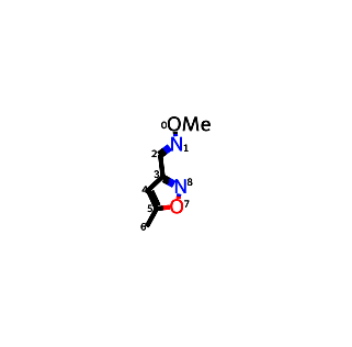 CON=Cc1cc(C)on1